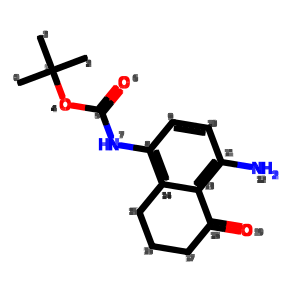 CC(C)(C)OC(=O)Nc1ccc(N)c2c1CCCC2=O